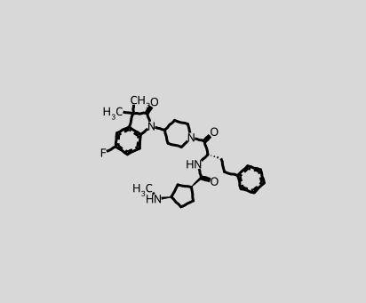 CN[C@@H]1CC[C@H](C(=O)N[C@@H](CCc2ccccc2)C(=O)N2CCC(N3C(=O)C(C)(C)c4cc(F)ccc43)CC2)C1